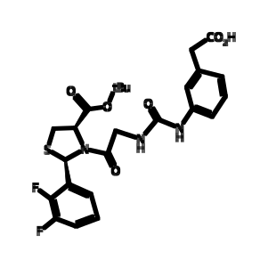 CC(C)(C)OC(=O)[C@@H]1CS[C@H](c2cccc(F)c2F)N1C(=O)CNC(=O)Nc1cccc(CC(=O)O)c1